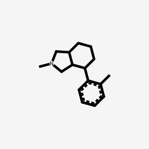 Cc1ccccc1C1CCCC2CN(C)CC21